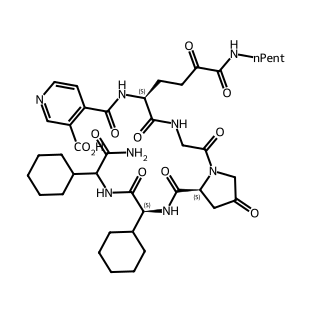 CCCCCNC(=O)C(=O)CC[C@H](NC(=O)c1ccncc1C(=O)O)C(=O)NCC(=O)N1CC(=O)C[C@H]1C(=O)N[C@H](C(=O)NC(C(N)=O)C1CCCCC1)C1CCCCC1